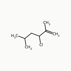 C=C(C)C(Cl)CC(C)C